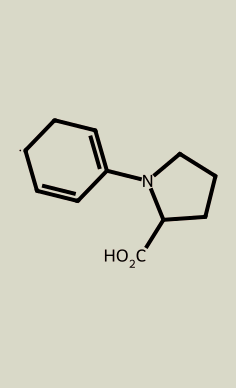 O=C(O)C1CCCN1C1=CC[CH]C=C1